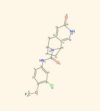 O=C(Nc1ccc(OC(F)(F)F)c(Cl)c1)N1C2CCC1c1c[nH]c(=O)cc1C2